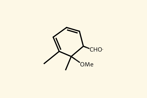 COC1(C)C(C)=CC=CC1[C]=O